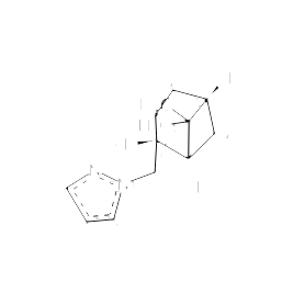 CC1(C)[C@@H]2CC[C@@H](Cn3cccn3)[C@@H]1C2